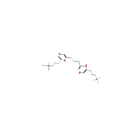 CC(C)(CO)CCCC1=CC(=O)C=C(CCCC2=CC(=O)C=C(CCCC(C)(C)CO)C2=O)C1=O